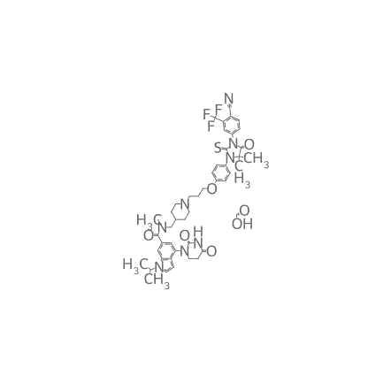 CC(C)n1ccc2c(N3CCC(=O)NC3=O)cc(C(=O)N(C)CC3CCN(CCCOc4ccc(N5C(=S)N(c6ccc(C#N)c(C(F)(F)F)c6)C(=O)C5(C)C)cc4)CC3)cc21.O=CO